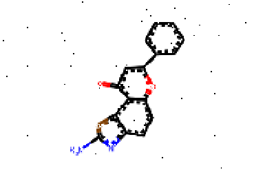 Nc1nc2ccc3oc(-c4ccccc4)cc(=O)c3c2s1